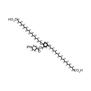 CC(C)N1CCC(C(=O)OCc2cc(OCCCCCCCCCCCCCCCCCC(=O)O)ccc2OCCCCCCCCCCCCCCCCCC(=O)O)CC1